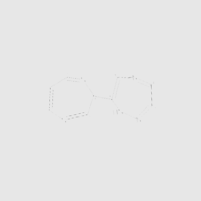 C1=CN=CC(C2=CN=CC=NN2)N=C1